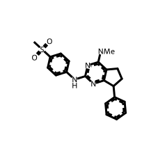 CNc1nc(Nc2ccc(S(C)(=O)=O)cc2)nc2c1CCC2c1ccccc1